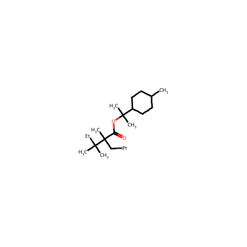 CCC(C)(C)C(C)(CC(C)C)C(=O)OC(C)(C)C1CCC(C)CC1